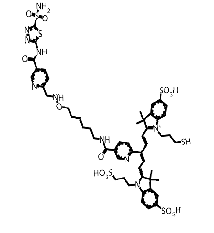 CC1(C)C(/C=C/C(=C/C=C2/N(CCCS(=O)(=O)O)c3ccc(S(=O)(=O)O)cc3C2(C)C)c2ccc(C(=O)NCCCCCCONCc3ccc(C(=O)Nc4nnc(S(N)(=O)=O)s4)cn3)cn2)=[N+](CCCS)c2ccc(S(=O)(=O)O)cc21